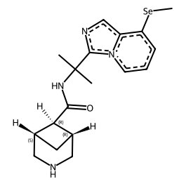 C[Se]c1cccn2c(C(C)(C)NC(=O)[C@H]3[C@@H]4CNC[C@H]3C4)ncc12